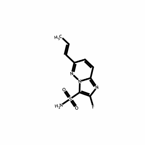 CC=Cc1ccc2nc(F)c(S(N)(=O)=O)n2n1